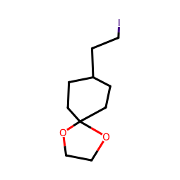 ICCC1CCC2(CC1)OCCO2